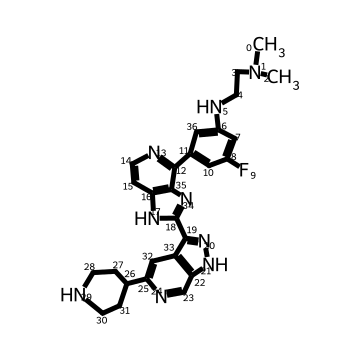 CN(C)CCNc1cc(F)cc(-c2nccc3[nH]c(-c4n[nH]c5cnc(C6CCNCC6)cc45)nc23)c1